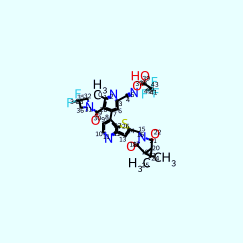 Cc1nc(C#N)cc(-c2ccnc3cc(CN4C(=O)C5C(C4=O)C5(C)C)sc23)c1C(=O)N1CC(F)(F)C1.O=C(O)C(F)(F)F